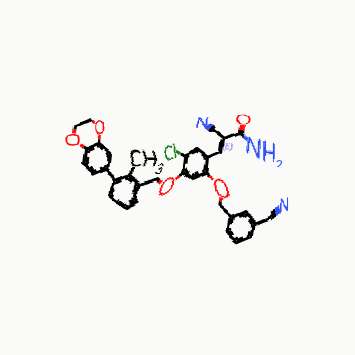 Cc1c(COc2cc(OCc3cccc(C#N)c3)c(/C=C(\C#N)C(N)=O)cc2Cl)cccc1-c1ccc2c(c1)OCCO2